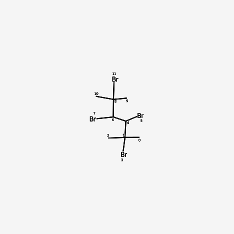 CC(C)(Br)C(Br)C(Br)C(C)(C)Br